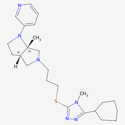 Cn1c(SCCCN2C[C@@H]3CCN(c4cccnc4)[C@]3(C)C2)nnc1C1CCCCC1